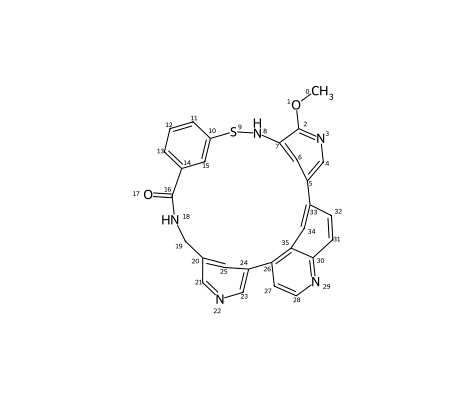 COc1ncc2cc1NSc1cccc(c1)C(=O)NCc1cncc(c1)-c1ccnc3ccc-2cc13